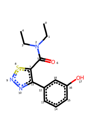 CCN(CC)C(=O)c1snnc1-c1cccc(O)c1